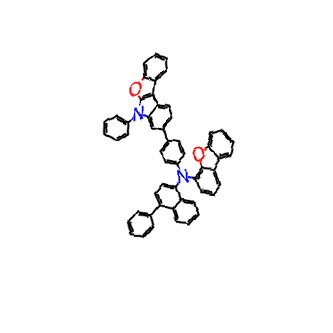 c1ccc(-c2ccc(N(c3ccc(-c4ccc5c6c7ccccc7oc6n(-c6ccccc6)c5c4)cc3)c3cccc4c3oc3ccccc34)c3ccccc23)cc1